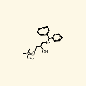 CC(C)(C)[Si](C)(C)OCC(O)CNC(c1ccccc1)c1ccccc1